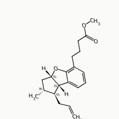 C=CC[C@@H]1[C@H]2c3cccc(CCCC(=O)OC)c3O[C@H]2C[C@H]1C